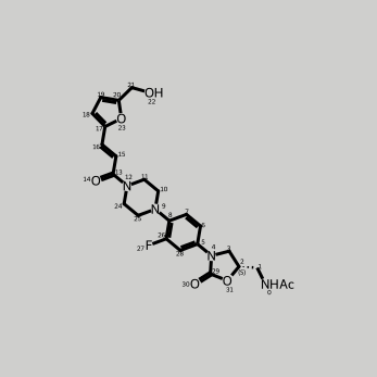 CC(=O)NC[C@H]1CN(c2ccc(N3CCN(C(=O)C=Cc4ccc(CO)o4)CC3)c(F)c2)C(=O)O1